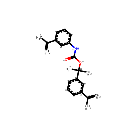 C=C(C)c1cccc(NC(=O)OC(C)(C)c2cccc(C(=C)C)c2)c1